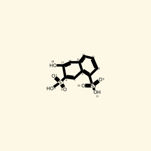 O=S(=O)(O)c1cc2c(S(=O)(=O)O)cccc2cc1O